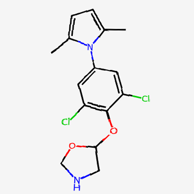 Cc1ccc(C)n1-c1cc(Cl)c(OC2CNCO2)c(Cl)c1